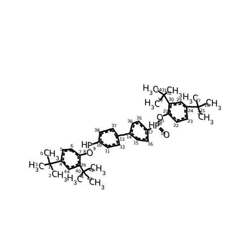 CC(C)(C)c1ccc(OPc2ccc(-c3ccc([PH](=O)Oc4ccc(C(C)(C)C)cc4C(C)(C)C)cc3)cc2)c(C(C)(C)C)c1